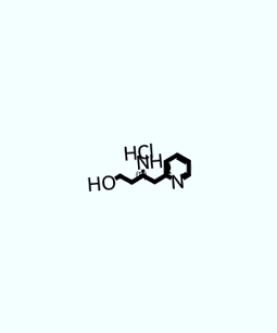 Cl.N[C@H](CCO)Cc1ccccn1